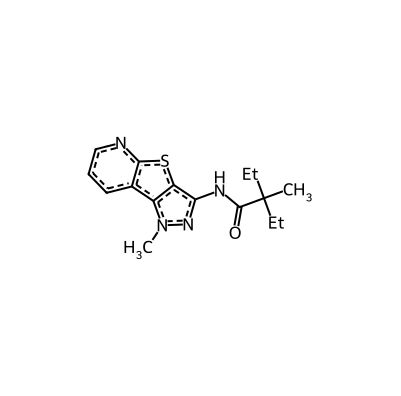 CCC(C)(CC)C(=O)Nc1nn(C)c2c1sc1ncccc12